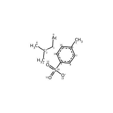 CC(=O)C[S+](C)C.Cc1ccc(S(=O)(=O)[O-])cc1